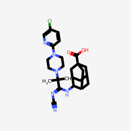 CC(C)(/C(=N/C#N)NC1C2CC3CC1CC(C(=O)O)(C3)C2)N1CCN(c2ccc(Cl)cn2)CC1